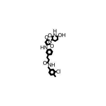 Cc1ccc(CNC(=O)CCc2cccc(NC3=CC(=O)N(C4CCC(O)NC4=O)C3=O)c2)cc1Cl